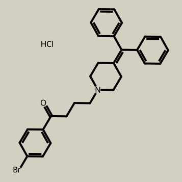 Cl.O=C(CCCN1CCC(=C(c2ccccc2)c2ccccc2)CC1)c1ccc(Br)cc1